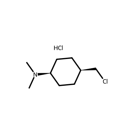 CN(C)[C@H]1CC[C@@H](CCl)CC1.Cl